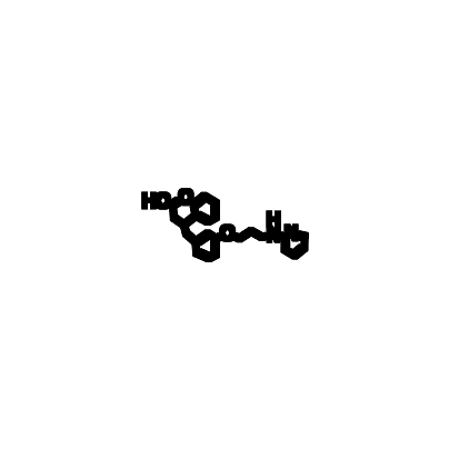 O=C(O)CC(Cc1cccc(OCCCNc2ccccn2)c1)c1ccccc1